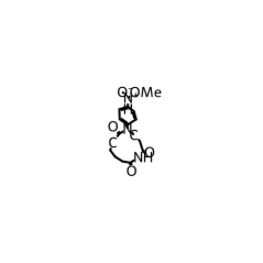 CO[NH+]([O-])c1ccc(N2CCC(=O)NC(=O)CCCCC2=O)cc1